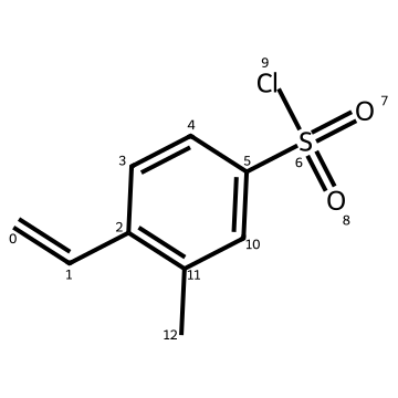 C=Cc1ccc(S(=O)(=O)Cl)cc1C